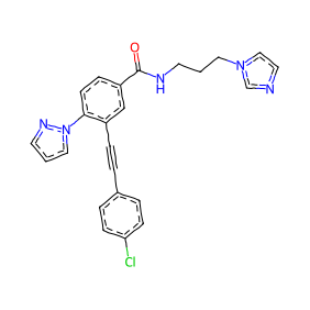 O=C(NCCCn1ccnc1)c1ccc(-n2cccn2)c(C#Cc2ccc(Cl)cc2)c1